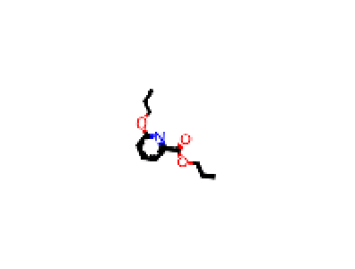 CCCOC(=O)c1cccc(OCCC)n1